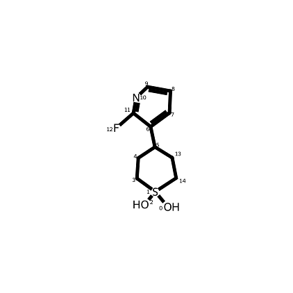 OS1(O)CCC(c2cccnc2F)CC1